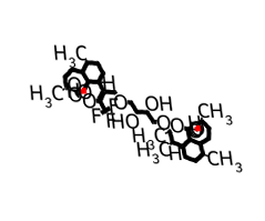 C[C@@H]1CC[C@H]2C(COC[C@H](O)[C@@H](O)CO[C@@]3(C)O[C@@H]4O[C@]5(C)CCC6[C@H](C)CC[C@@H]([C@H]3C)[C@]64OO5)=C(C(F)(F)F)O[C@@H]3O[C@]4(C)CCC1[C@]32OO4